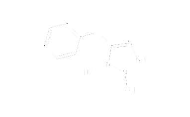 ON1NN=C(Oc2ccccc2)N1O